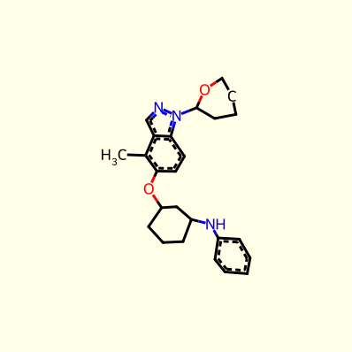 Cc1c(OC2CCCC(Nc3ccccc3)C2)ccc2c1cnn2C1CCCCO1